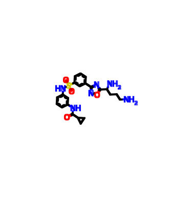 NCCC[C@H](N)c1nc(-c2cccc(S(=O)(=O)Nc3cccc(NC(=O)C4CC4)c3)c2)no1